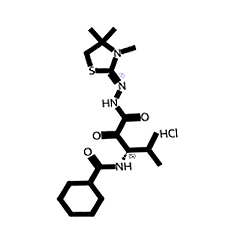 CC(C)[C@H](NC(=O)C1CCCCC1)C(=O)C(=O)N/N=C1\SCC(C)(C)N1C.Cl